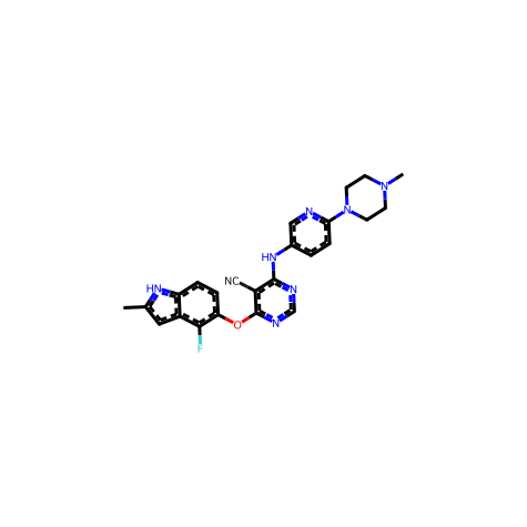 Cc1cc2c(F)c(Oc3ncnc(Nc4ccc(N5CCN(C)CC5)nc4)c3C#N)ccc2[nH]1